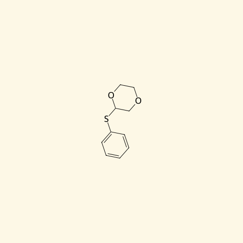 c1ccc(SC2COCCO2)cc1